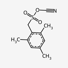 Cc1cc(C)c(CS(=O)(=O)OC#N)c(C)c1